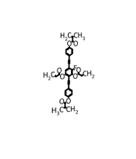 C=CC(=O)Oc1cc(C#Cc2ccc(OC(=O)C(=C)C)cc2)c(F)c(OC(=O)C=C)c1C#Cc1ccc(OC(=O)C(=C)C)cc1